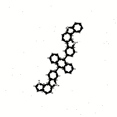 c1ccc2c(c1)oc1ccc3c4cc(-c5c6ccccc6c(-c6ccc7c(c6)oc6ccc8ccsc8c67)c6ccccc56)ccc4oc3c12